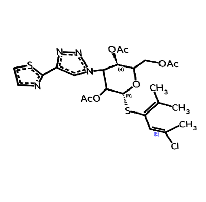 CC(=O)OCC1O[C@H](SC(/C=C(\C)Cl)=C(C)C)C(OC(C)=O)C(n2cc(-c3nccs3)nn2)[C@H]1OC(C)=O